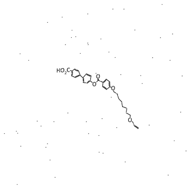 C=CCOCCCCCCCCOc1ccc(C(=O)Oc2ccc(-c3ccc(C(=O)O)cc3)cc2)cc1